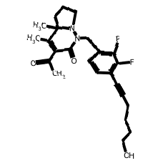 CC(=O)C1=C(C)C2(C)CCCN2N(Cc2ccc(C#CCCCCO)c(F)c2F)C1=O